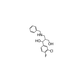 OCC(CNCc1ccccc1)C(O)c1ccc(F)c(Cl)c1